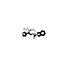 CN(C)C(CNC(=O)n1cc2ccccc2c1)c1ccsc1